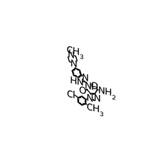 Cc1ccc(Cl)cc1-n1cnc(C(N)=O)c1C(=O)Nc1nc2cc(N3CCN(C)CC3)ccc2[nH]1